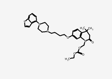 CCOC(=O)OCN1C(=O)CC(C)(C)c2ccc(OCCCCN3CCN(c4cccc5sccc45)CC3)cc21